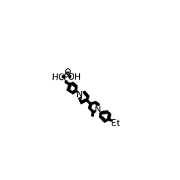 CCc1ccc(N2C=CC(c3cc[n+](-c4ccc(CP(=O)(O)O)cc4)cc3)=CC2C)cc1